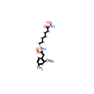 COc1cc(C)ccc1/C=C1/N[SH](CCCCCCC(=O)NO)OO1